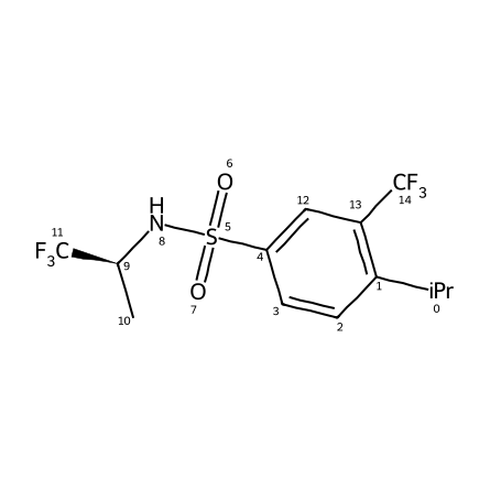 CC(C)c1ccc(S(=O)(=O)N[C@@H](C)C(F)(F)F)cc1C(F)(F)F